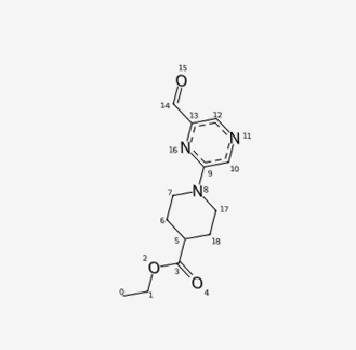 CCOC(=O)C1CCN(c2cncc(C=O)n2)CC1